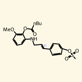 CCCCC(=O)Oc1c(NC/C=C/c2ccc(OS(C)(=O)=O)cc2)cccc1OC